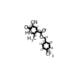 Cc1[nH]c(=O)c(C#N)cc1C(=O)OCc1ccc(C(F)(F)F)cc1